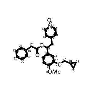 COc1ccc(C(Cc2cc[n+]([O-])cc2)OC(=O)Cc2ccccc2)cc1OCC1CC1